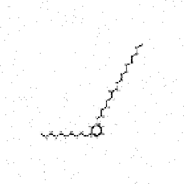 CCCCCCCCCCCCCCCCCC[n+]1cccc(CCCCCCCCCC)c1